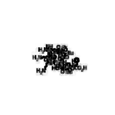 CC[C@H](C)[C@H](NC(=O)[C@@H](NC(=O)[C@H](CCCNC(=N)N)NC(=O)[C@@H]1CCCN1C(=O)[C@H](CCCCN)NC(=O)[C@@H](N)CCCCN)C(C)C)C(=O)NCC(=O)N[C@H](C(=O)N[C@@H](CO)C(=O)N[C@H](C(=O)N1CCC[C@H]1C(=O)N[C@@H](Cc1ccccc1)C(=O)O)[C@@H](C)CC)C(C)C